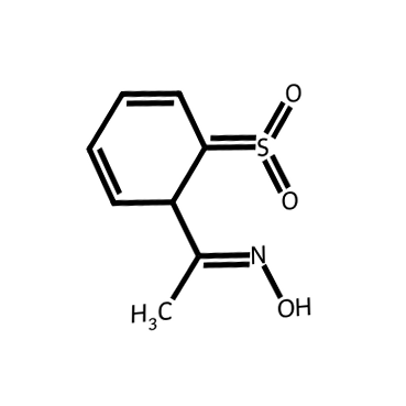 CC(=NO)C1C=CC=CC1=S(=O)=O